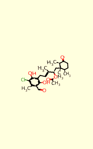 CC(=O)O[C@H](C[C@@]1(C)[C@H](C)CCC(=O)[C@@H]1C)/C(C)=C/Cc1c(O)c(Cl)c(C)c(C=O)c1O